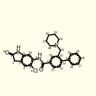 O=C1Cc2cc(Cl)c(NC(=O)c3ccc(-c4ccccc4)c(CN4CCCCC4)c3)cc2N1